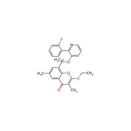 CCSc1oc2c([C@@H](C)Oc3cccnc3-c3ccccc3F)cc(C)cc2c(=O)c1C